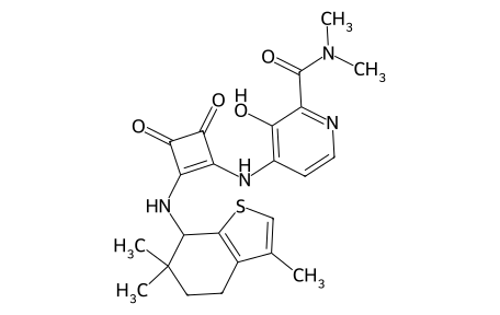 Cc1csc2c1CCC(C)(C)C2Nc1c(Nc2ccnc(C(=O)N(C)C)c2O)c(=O)c1=O